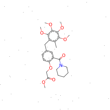 COC(=O)COc1ccc(Cc2c(C)c(OC)c(OC)c(OC)c2OC)cc1C(=O)N1CCCCC1